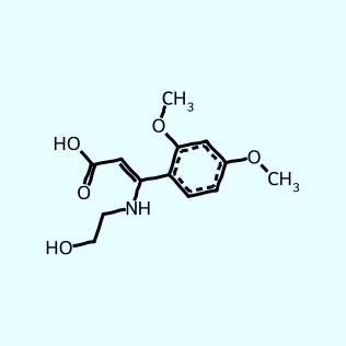 COc1ccc(C(=CC(=O)O)NCCO)c(OC)c1